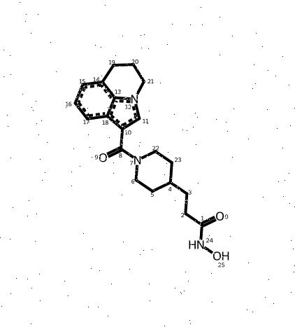 O=C(CCC1CCN(C(=O)c2cn3c4c(cccc24)CCC3)CC1)NO